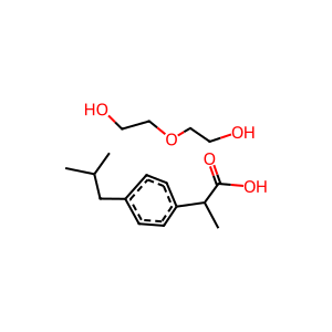 CC(C)Cc1ccc(C(C)C(=O)O)cc1.OCCOCCO